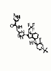 Cn1cc(C(=O)NCc2nc(-c3cc4c(N[C@@H]5CCN(C(C)(C)C)C[C@@H]5F)cccc4n3CC(F)(F)F)no2)cn1